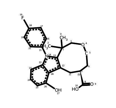 CC1(C)COCC[C@@H](C(=O)O)Cc2c1n(-c1ccc(F)cc1)c1cccc(O)c21